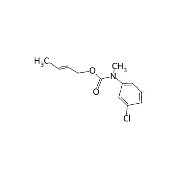 CC=CCOC(=O)N(C)c1c[c]cc(Cl)c1